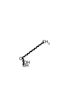 CCCCCC=CCC=CCC=CCC=CCCCC(=O)SCC(O)CO